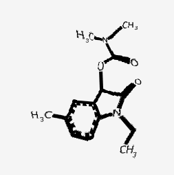 CCN1C(=O)C(OC(=O)N(C)C)c2cc(C)ccc21